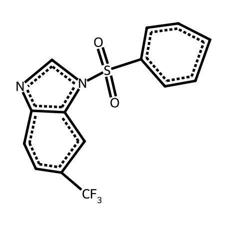 O=S(=O)(c1ccccc1)n1cnc2ccc(C(F)(F)F)cc21